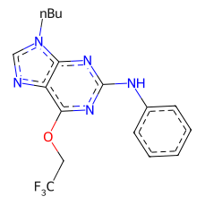 CCCCn1cnc2c(OCC(F)(F)F)nc(Nc3ccccc3)nc21